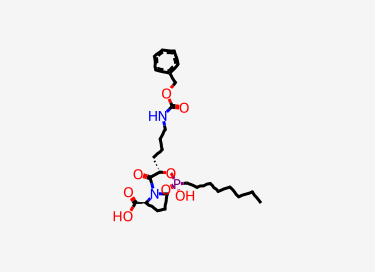 CCCCCCCCP(=O)(O)O[C@@H](CCCCNC(=O)OCc1ccccc1)C(=O)N1CCC[C@H]1C(=O)O